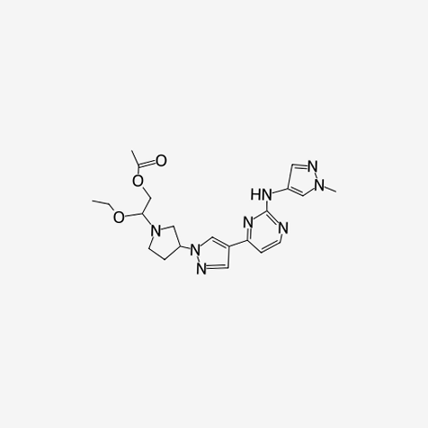 CCOC(COC(C)=O)N1CCC(n2cc(-c3ccnc(Nc4cnn(C)c4)n3)cn2)C1